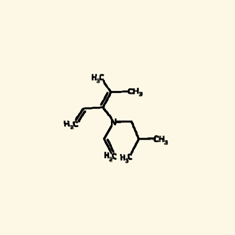 C=CC(=C(C)C)N(C=C)CC(C)C